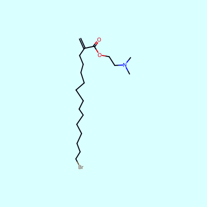 C=C(CCCCCCCCCCCCCBr)C(=O)OCCN(C)C